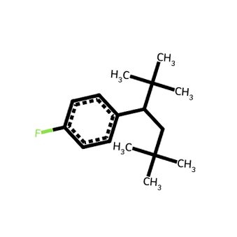 CC(C)(C)CC(c1ccc(F)cc1)C(C)(C)C